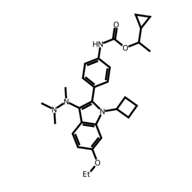 CCOc1ccc2c(N(C)N(C)C)c(-c3ccc(NC(=O)OC(C)C4CC4)cc3)n(C3CCC3)c2c1